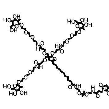 CC1C(OCCOCCOCCNC(=O)CCOCC(COCCC(=O)NCCOCCOCCOC2OC(CO)C(O)C(O)C2C)(COCCC(=O)NCCOCCOCCOC2OC(CO)C(O)C(O)C2C)CC(=O)CCCCCCCCCCC(=O)NCCOC(C)(C)OCCNC(=O)CCN2C(=O)C=CC2=O)OC(CO)C(O)C1O